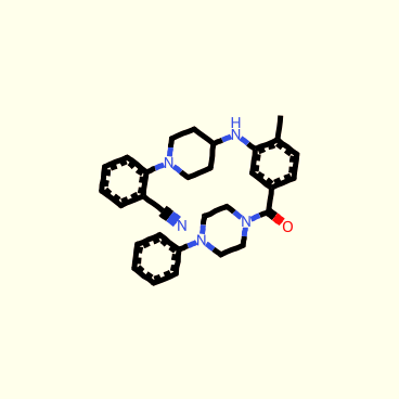 Cc1ccc(C(=O)N2CCN(c3ccccc3)CC2)cc1NC1CCN(c2ccccc2C#N)CC1